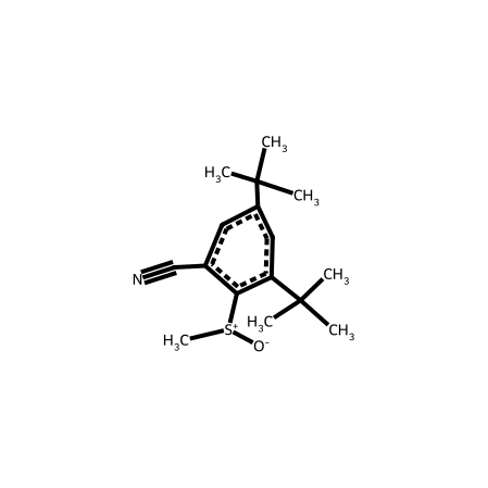 C[S+]([O-])c1c(C#N)cc(C(C)(C)C)cc1C(C)(C)C